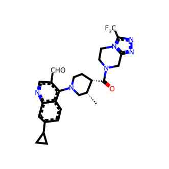 C[C@@H]1CN(c2c(C=O)cnc3cc(C4CC4)ccc23)CC[C@@H]1C(=O)N1CCn2c(nnc2C(F)(F)F)C1